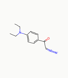 CCN(CC)c1ccc(C(=O)C=[N+]=[N-])cc1